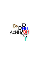 CC(=O)NC(Cc1cc(F)cc(F)c1)C(O)CNC1(c2cccc(Br)c2)CCCCC1